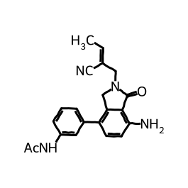 C/C=C(\C#N)CN1Cc2c(-c3cccc(NC(C)=O)c3)ccc(N)c2C1=O